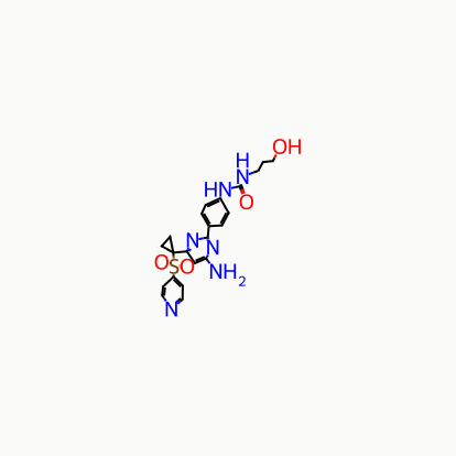 Nc1cc(C2(S(=O)(=O)c3ccncc3)CC2)nc(-c2ccc(NC(=O)NCCCO)cc2)n1